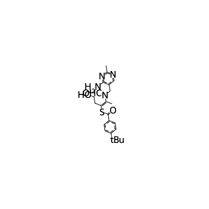 CC(=C(CCO)SC(=O)c1ccc(C(C)(C)C)cc1)N(C=O)Cc1cnc(C)nc1N